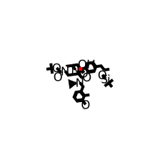 COc1cccc(CN(C(=O)C2=C(c3ccc(CC(C)O[Si](C)(C)C(C)(C)C)cc3)CC3CN(C(=O)OC(C)(C)C)CC2N3C(=O)O)C2CC2)c1C